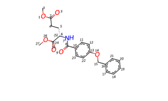 COC(=O)CC[C@H](NC(=O)c1ccc(OCc2ccccc2)cc1)C(=O)OC